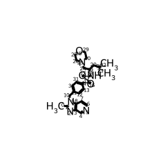 Cc1nc2cnccc2n1Cc1ccc(S(=O)(=O)NC(CC(C)C)CN2CCOCC2)cc1